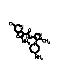 Cn1ncc(NC(=O)c2c(N)oc3cc(Cl)cnc23)c1N1CCCC(N)CC1